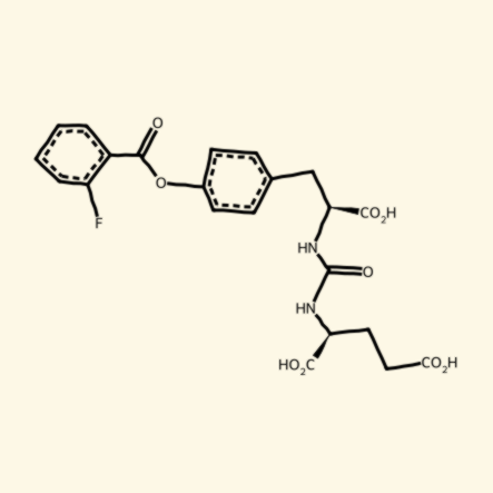 O=C(O)CC[C@H](NC(=O)N[C@@H](Cc1ccc(OC(=O)c2ccccc2F)cc1)C(=O)O)C(=O)O